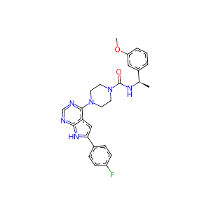 COc1cccc([C@@H](C)NC(=O)N2CCN(c3ncnc4[nH]c(-c5ccc(F)cc5)cc34)CC2)c1